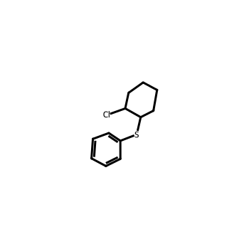 ClC1CCCCC1Sc1ccccc1